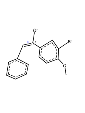 COc1ccc(/[N+]([O-])=C\c2ccccc2)cc1Br